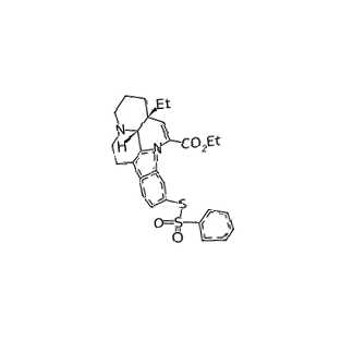 CCOC(=O)C1=C[C@@]2(CC)CCCN3CCc4c(n1c1cc(SS(=O)(=O)c5ccccc5)ccc41)[C@H]32